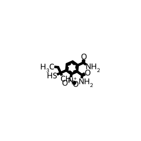 CCC(C)(S)c1ccc(C(N)=O)c(C(N)=O)c1[N+](=O)[O-]